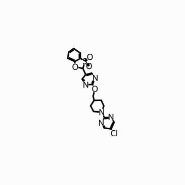 O=S1(=O)c2ccccc2OC1c1cnc(OCC2CCN(c3ncc(Cl)cn3)CC2)nc1